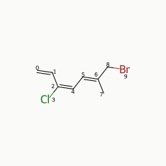 C=C/C(Cl)=C\C=C(/C)CBr